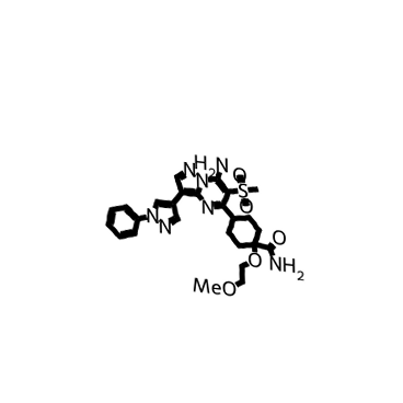 COCCOC1(C(N)=O)CCC(c2nc3c(-c4cnn(-c5ccccc5)c4)cnn3c(N)c2S(C)(=O)=O)CC1